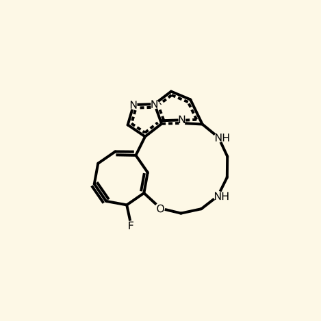 FC1C#CC/C=C2\C=C/1OCCNCCNc1ccn3ncc2c3n1